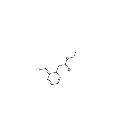 CCOC(=O)CC1C=CC=C/C1=C\Cl